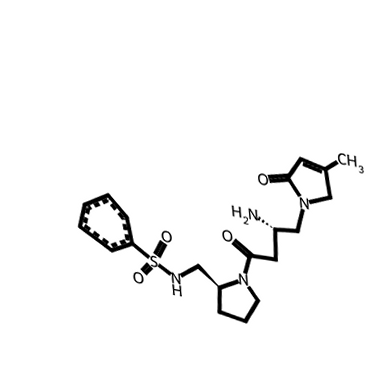 CC1=CC(=O)N(C[C@@H](N)CC(=O)N2CCC[C@H]2CNS(=O)(=O)c2ccccc2)C1